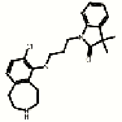 CC1(C)C(=O)N(CCCSc2c(Cl)ccc3c2CCNCC3)c2ccccc21